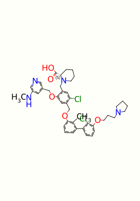 CNc1cncc(COc2cc(COc3cccc(-c4cccc(OCCCN5CCCC5)c4Cl)c3C)c(Cl)cc2CN2CCCC[C@H]2C(=O)O)c1